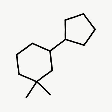 CC1(C)CCC[C](C2CCCC2)C1